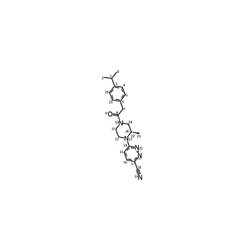 CC(C)c1ccc(CC(=O)N2CCN(c3ccc(C#N)nn3)[C@H](C)C2)cc1